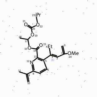 C=C(/C=C(\CC)c1ccc(C(=C)C)nc1C(=O)OC(C)OC(=O)OC(C)C)OC